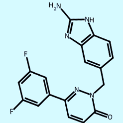 Nc1nc2cc(Cn3nc(-c4cc(F)cc(F)c4)ccc3=O)ccc2[nH]1